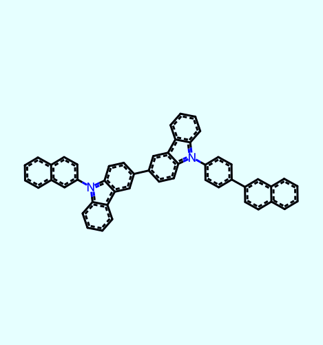 c1ccc2cc(-c3ccc(-n4c5ccccc5c5cc(-c6ccc7c(c6)c6ccccc6n7-c6ccc7ccccc7c6)ccc54)cc3)ccc2c1